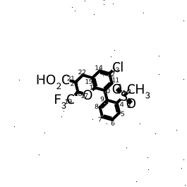 CS(=O)(=O)c1ccccc1-c1cc(Cl)cc2c1OC(C(F)(F)F)C(C(=O)O)C2